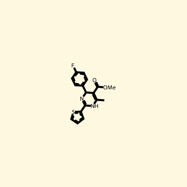 COC(=O)C1=C(C)NC(c2cccs2)=NC1c1ccc(F)cc1